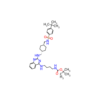 CC(C)(C)OC(=O)NCCCCNc1nc(NC[C@H]2CC[C@H](CNS(=O)(=O)c3ccc(C(C)(C)C)cc3)CC2)nc2ccccc12